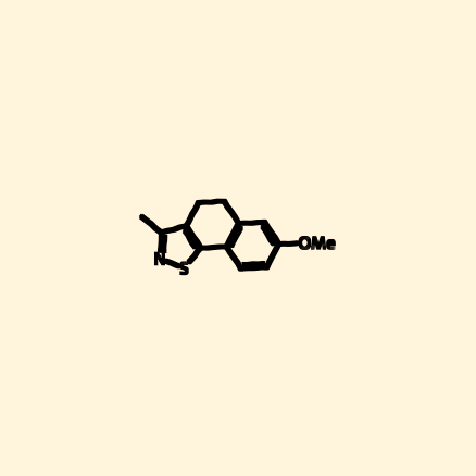 COc1ccc2c(c1)CCc1c(C)nsc1-2